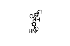 O=C(NCc1ccc(C2CNCCO2)cc1)c1ccc(Cl)cc1